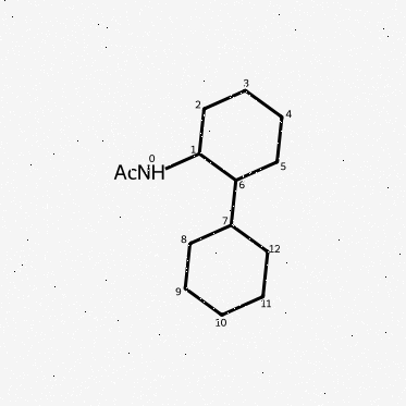 CC(=O)NC1CCCCC1C1CCCCC1